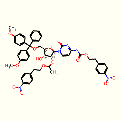 COc1ccc(C(OC[C@H]2O[C@@H](n3ccc(NC(=O)OCCc4ccc([N+](=O)[O-])cc4)nc3=O)[C@H](OC(C)OCCc3ccc([N+](=O)[O-])cc3)[C@@H]2O)(c2ccccc2)c2ccc(OC)cc2)cc1